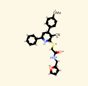 COc1ccc(-c2cc(-c3ccccc3)nc(SCC(=O)NCc3ccco3)c2C#N)cc1